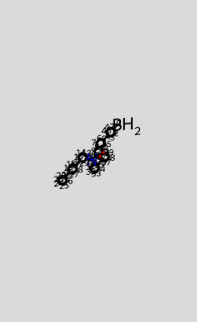 Bc1ccc(-c2ccc3cc(N(c4cccc(-c5ccc(-c6ccccc6)cc5)c4)c4ccccc4-c4ccccc4)ccc3c2)cc1